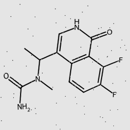 CC(c1c[nH]c(=O)c2c(F)c(F)ccc12)N(C)C(N)=O